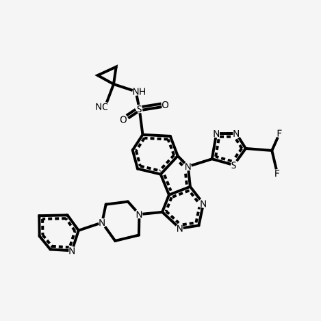 N#CC1(NS(=O)(=O)c2ccc3c4c(N5CCN(c6ccccn6)CC5)ncnc4n(-c4nnc(C(F)F)s4)c3c2)CC1